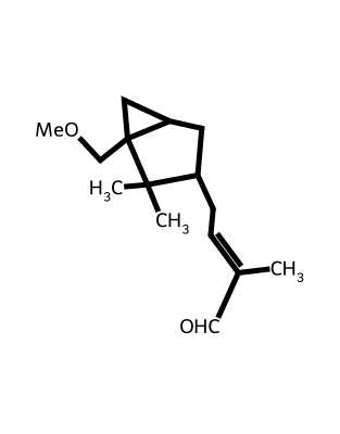 COCC12CC1CC(CC=C(C)C=O)C2(C)C